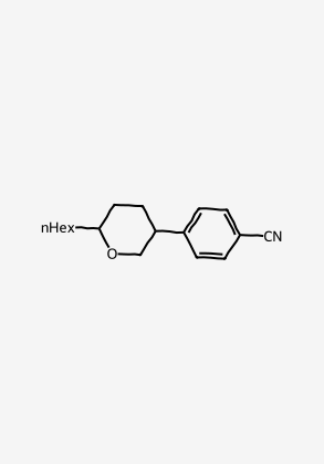 CCCCCCC1CCC(c2ccc(C#N)cc2)CO1